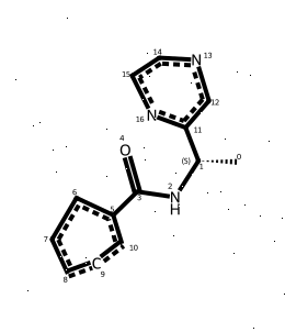 C[C@H](NC(=O)c1ccccc1)c1cnccn1